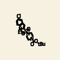 CCn1c(S(=O)(=O)N2CCN(C(=O)OC(C)(C)C)CC2)cc2cc(Cl)ccc21